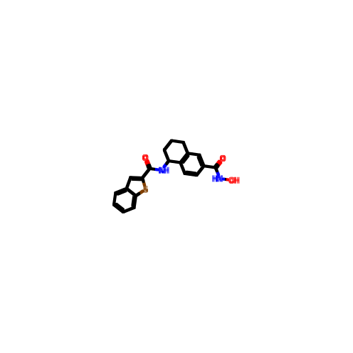 O=C(NO)c1ccc2c(c1)CCCC2NC(=O)c1cc2ccccc2s1